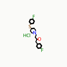 Cl.O=C(CCN1CC=C(Sc2ccc(F)cc2)CC1)Cc1ccc(F)cc1